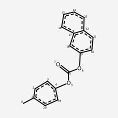 Cc1ccc(OC(=O)Oc2ccc3ccccc3c2)cc1